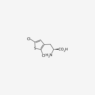 N[C@@H](Cc1cc(Cl)sc1Cl)C(=O)O